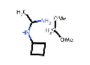 CC(N)NC1CCC1.CO[SiH2]OC